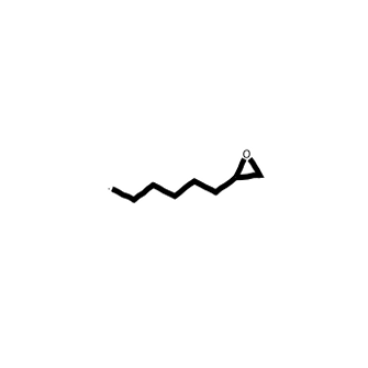 [CH2]CCCCCC1CO1